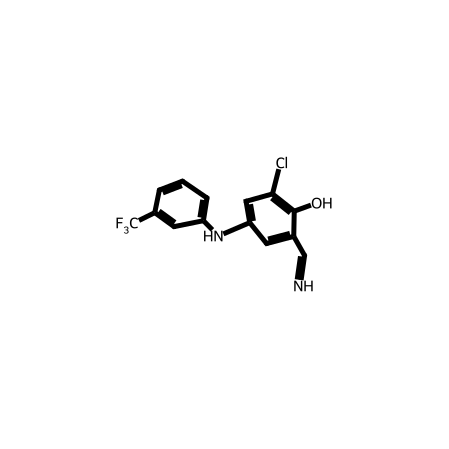 N=Cc1cc(Nc2cccc(C(F)(F)F)c2)cc(Cl)c1O